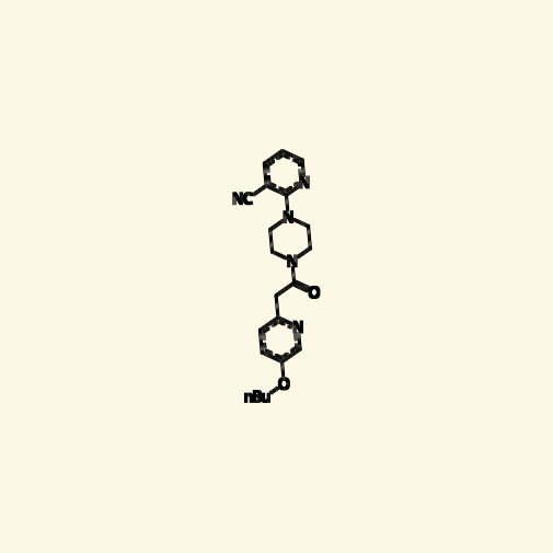 CCCCOc1ccc(CC(=O)N2CCN(c3ncccc3C#N)CC2)nc1